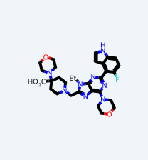 CCn1c(CN2CCC(C(=O)O)(N3CCOCC3)CC2)nc2c(N3CCOCC3)nc(-c3c(F)ccc4[nH]ccc34)nc21